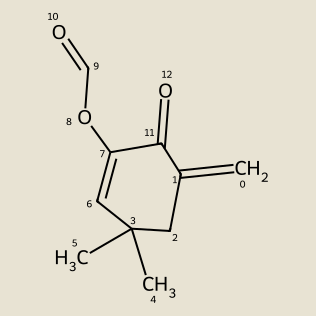 C=C1CC(C)(C)C=C(OC=O)C1=O